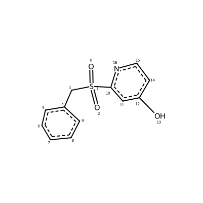 O=S(=O)(Cc1ccccc1)c1cc(O)ccn1